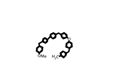 COc1ccc(Cc2ccc(-c3ccc(Cc4ccc(Oc5ccc(Cc6ccc(C)cc6)cc5)cc4)cc3)cc2)cc1